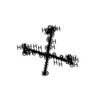 CC(=O)NC1C(O)CC(CO)(CO)O[C@H]1OCCCCC(=O)NCCCNC(=O)CCOCC(COCCC(=O)NCCCNC(=O)CCCCO[C@@H]1OC(CO)[C@@H](O)C(O)C1NC(C)=O)(NC(=O)CCCCCCCCCCC(=O)C(C)(C)C)OCCCC(=O)NCCCNC(=O)CCCCO[C@@H]1OC(CO)[C@@H](O)C(O)C1NC(C)=O